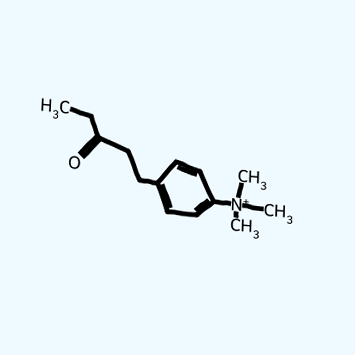 CCC(=O)CCc1ccc([N+](C)(C)C)cc1